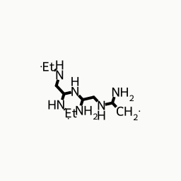 [CH2][CH]NCC(N[CH][CH2])NC(N)CNC([CH2])N